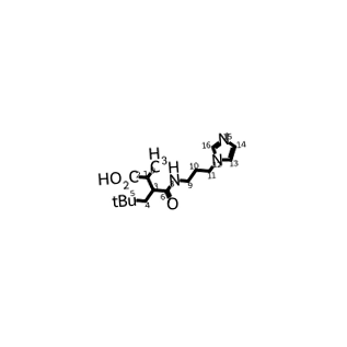 CC(C(=O)O)C(CC(C)(C)C)C(=O)NCCCn1ccnc1